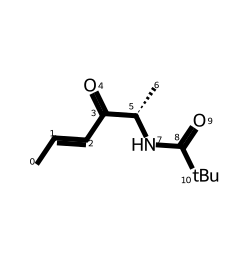 C/C=C/C(=O)[C@H](C)NC(=O)C(C)(C)C